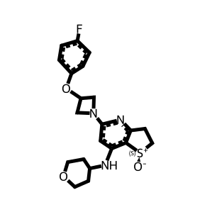 [O-][S@+]1CCc2nc(N3CC(Oc4ccc(F)cc4)C3)cc(NC3CCOCC3)c21